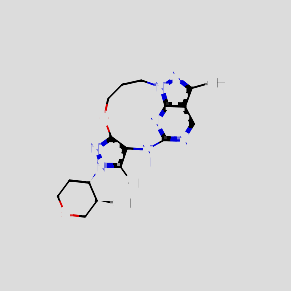 Cc1nn2c3nc(ncc13)Nc1c(nn([C@@H]3CCOC[C@@H]3C)c1C)OCCC2